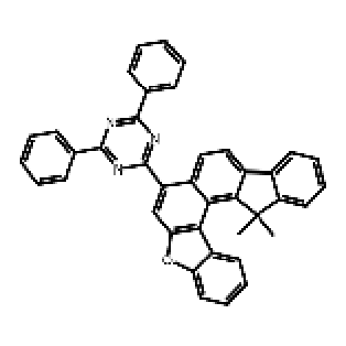 CC1(C)c2ccccc2-c2ccc3c(-c4nc(-c5ccccc5)nc(-c5ccccc5)n4)cc4oc5ccccc5c4c3c21